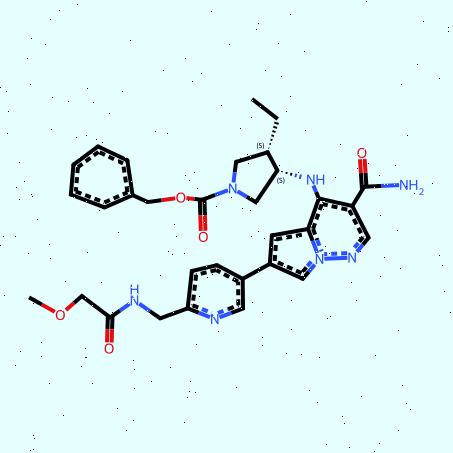 CC[C@H]1CN(C(=O)OCc2ccccc2)C[C@H]1Nc1c(C(N)=O)cnn2cc(-c3ccc(CNC(=O)COC)nc3)cc12